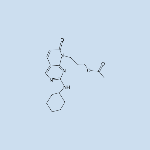 CC(=O)OCCCn1c(=O)ccc2cnc(NC3CCCCC3)nc21